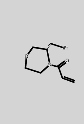 C=CC(=O)N1CCOC[C@@H]1CC(C)C